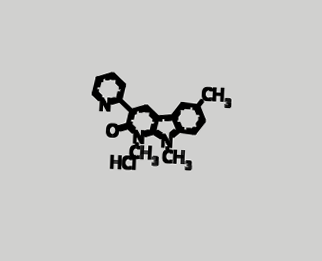 Cc1ccc2c(c1)c1cc(-c3ccccn3)c(=O)n(C)c1n2C.Cl